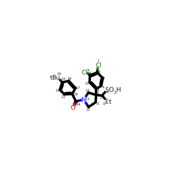 CCC(C1(c2ccc(Cl)c(Cl)c2)CCN(C(=O)c2ccc(C(C)(C)C)cc2)C1)S(=O)(=O)O